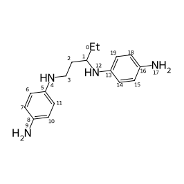 CCC(CCNc1ccc(N)cc1)Nc1ccc(N)cc1